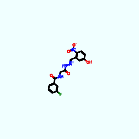 O=C(CNC(=O)c1cccc(F)c1)N/N=C/c1cc(O)ccc1[N+](=O)[O-]